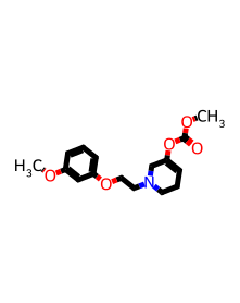 COC(=O)OC1=CCCN(CCOc2cccc(OC)c2)C1